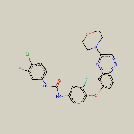 O=C(Nc1ccc(Cl)c(F)c1)Nc1ccc(Oc2ccc3ncc(N4CCOCC4)nc3c2)c(F)c1